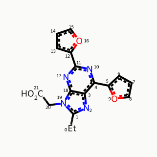 CCc1nc2c(-c3ccco3)nc(-c3ccco3)nc2n1CC(=O)O